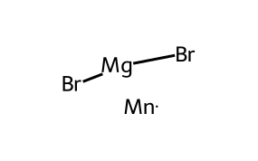 [Br][Mg][Br].[Mn]